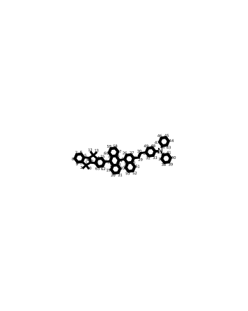 CC1(C)C2=C(c3ccccc31)C(C)(C)c1cc(-c3c4ccccc4c(-c4ccc(/C=C/c5ccc(N(c6ccccc6)c6ccccc6)cc5)c5ccccc45)c4ccccc34)ccc12